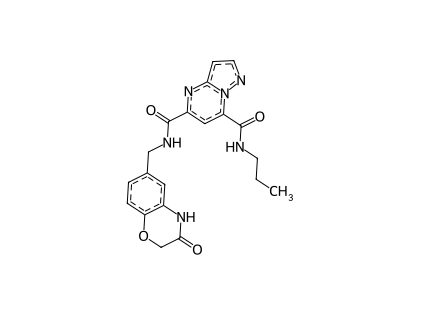 CCCNC(=O)c1cc(C(=O)NCc2ccc3c(c2)NC(=O)CO3)nc2ccnn12